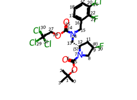 CC(C)(C)OC(=O)N1C[C@H](F)C[C@H]1CN(Cc1cccc(Cl)c1F)C(=O)OCC(Cl)(Cl)Cl